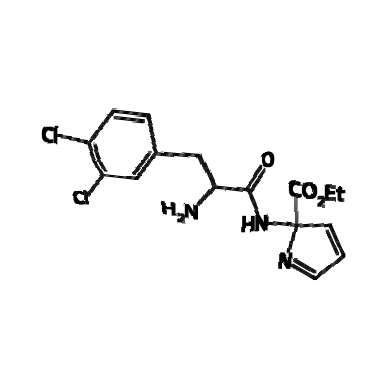 CCOC(=O)C1(NC(=O)C(N)Cc2ccc(Cl)c(Cl)c2)C=CC=N1